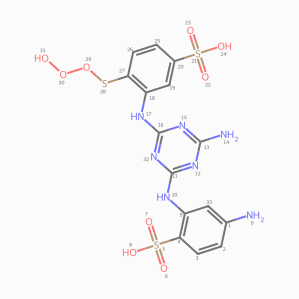 Nc1ccc(S(=O)(=O)O)c(Nc2nc(N)nc(Nc3cc(S(=O)(=O)O)ccc3SOOO)n2)c1